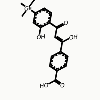 [CH3][Ge]([CH3])([CH3])[c]1ccc(C(=O)C=C(O)c2ccc(C(=O)O)cc2)c(O)c1